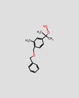 Cc1cc(C(C)(C)OO)ccc1COCc1ccccc1